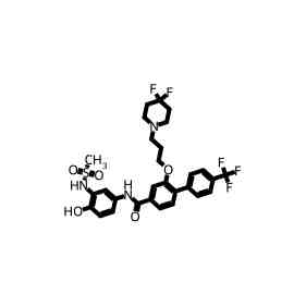 CS(=O)(=O)Nc1cc(NC(=O)c2ccc(-c3ccc(C(F)(F)F)cc3)c(OCCCN3CCC(F)(F)CC3)c2)ccc1O